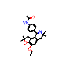 CCOc1cc2c(c3c1OC(C)(C)C3)C(c1ccc(NC(C)=O)cc1)=NC(C)(C)C2